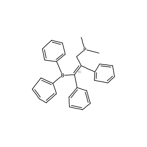 CP(C)C/C(=C(\B(c1ccccc1)c1ccccc1)c1ccccc1)c1ccccc1